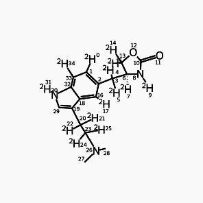 [2H]c1c(C([2H])([2H])[C@]2([2H])N([2H])C(=O)OC2([2H])[2H])c([2H])c2c(C([2H])([2H])C([2H])([2H])N(C)C)cn([2H])c2c1[2H]